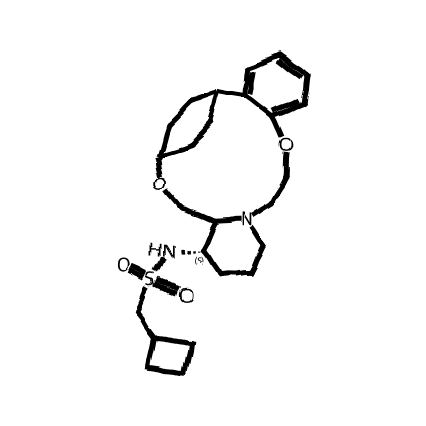 O=S(=O)(CC1CCC1)N[C@H]1CCCN2CCOc3ccccc3C3CCC(CC3)OCC12